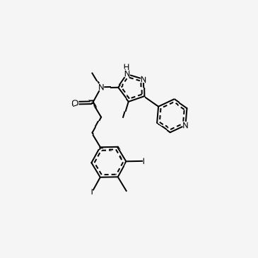 Cc1c(I)cc(CCC(=O)N(C)c2[nH]nc(-c3ccncc3)c2C)cc1I